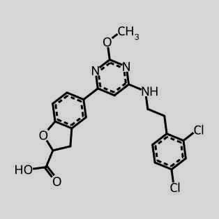 COc1nc(NCCc2ccc(Cl)cc2Cl)cc(-c2ccc3c(c2)CC(C(=O)O)O3)n1